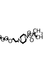 CN(C)S(=O)(=O)N1CCN(CCOOOO)CC1